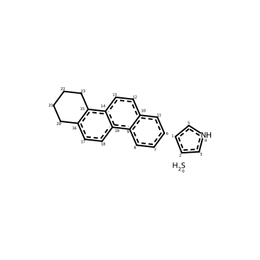 S.c1cc[nH]c1.c1ccc2c(c1)ccc1c3c(ccc12)CCCC3